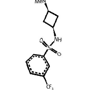 CN[C@H]1C[C@@H](NS(=O)(=O)c2cccc(C(F)(F)F)c2)C1